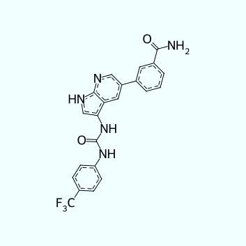 NC(=O)c1cccc(-c2cnc3[nH]cc(NC(=O)Nc4ccc(C(F)(F)F)cc4)c3c2)c1